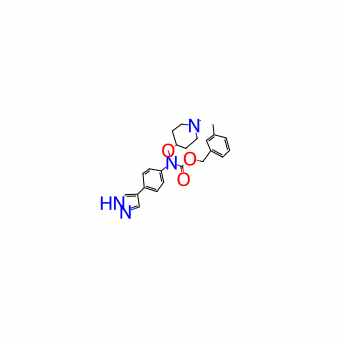 Cc1cccc(COC(=O)N(OC2CCN(C)CC2)c2ccc(-c3cn[nH]c3)cc2)c1